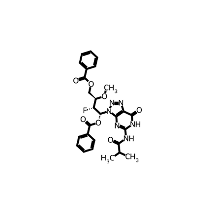 CO[C@H](COC(=O)c1ccccc1)[C@@H](F)[C@@H](OC(=O)c1ccccc1)n1nnc2c(=O)[nH]c(NC(=O)C(C)C)nc21